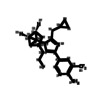 Nc1ncc(-c2cn([C@@]34C5[C@H]3[C@H]4CN5CCF)c(CC3CC3)n2)cc1C(F)(F)F